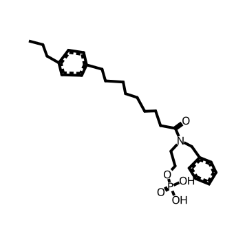 CCCc1ccc(CCCCCCCCC(=O)N(CCOP(=O)(O)O)Cc2ccccc2)cc1